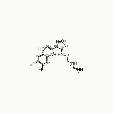 N=CNCCNc1nonc1/C(=N/O)Nc1ccc(F)c(Br)c1